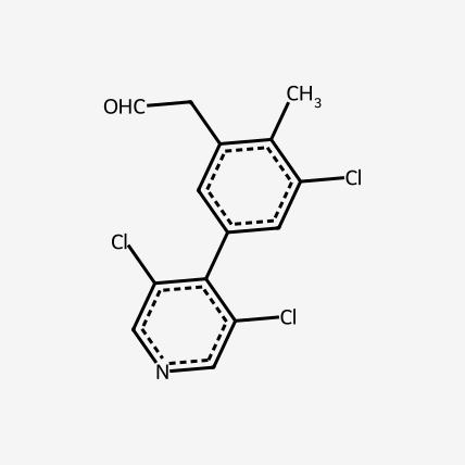 Cc1c(Cl)cc(-c2c(Cl)cncc2Cl)cc1CC=O